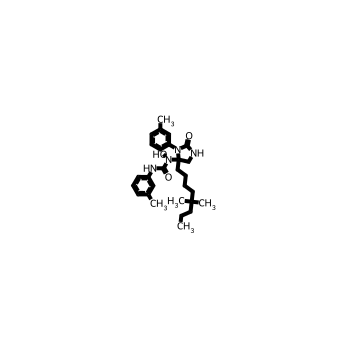 CCCC(C)(C)CCCCC1(N(O)C(=O)Nc2cccc(C)c2)CNC(=O)N1c1cccc(C)c1